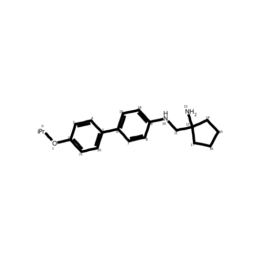 CC(C)Oc1ccc(-c2ccc(NCC3(N)CCCC3)cc2)cc1